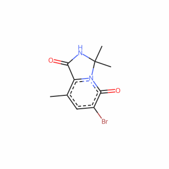 Cc1cc(Br)c(=O)n2c1C(=O)NC2(C)C